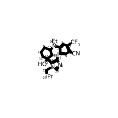 CCN(c1ccc(C#N)c(C(F)(F)F)c1)C1CCCC(O)(c2c(I)ncn2CC(C)C)C1